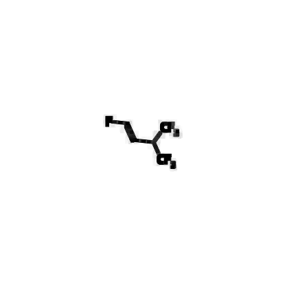 FC=CC(C(F)(F)F)C(F)(F)F